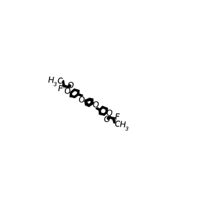 CC[C@H](F)C(=O)OC1CCC(COc2ccc(OCC3CCC(OC(=O)[C@@H](F)CC)CC3)cc2)CC1